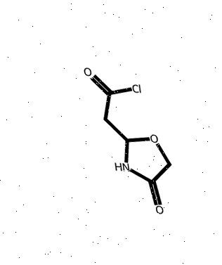 O=C(Cl)CC1NC(=O)CO1